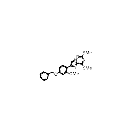 COc1cc(OCc2ccccc2)ccc1-c1cn2nc(SC)nc(SC)c2n1